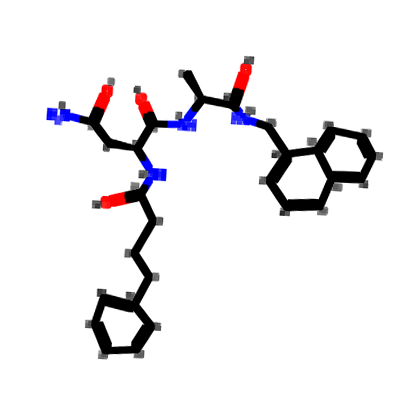 C[C@H](NC(=O)[C@H](CC(N)=O)NC(=O)CCCc1ccccc1)C(=O)NCc1cccc2ccccc12